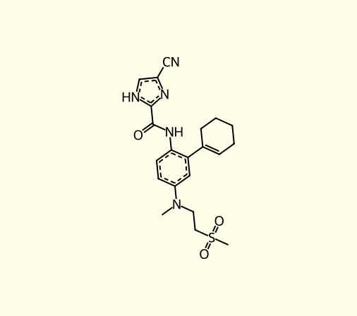 CN(CCS(C)(=O)=O)c1ccc(NC(=O)c2nc(C#N)c[nH]2)c(C2=CCCCC2)c1